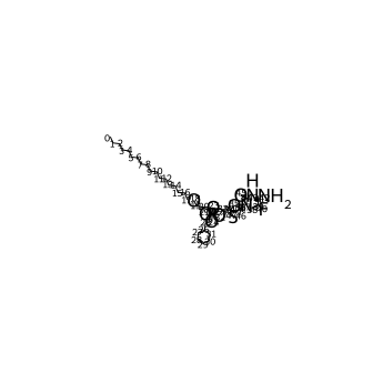 CCCCCCCCCCCCCCCCCCOCCOP(=O)(OCc1ccccc1)OC[C@H]1O[C@@H](N2C=C(F)C(N)NC2=O)CS1